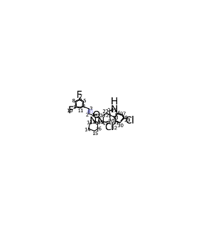 O=C(/C=C/c1cc(F)cc(F)c1)N1CC[CH]CC1N1CCC2(CC1)CNc1cc(Cl)cc(Cl)c12